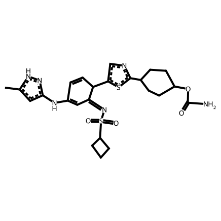 Cc1cc(NC2=CC(=NS(=O)(=O)C3CCC3)C(c3cnc(C4CCC(OC(N)=O)CC4)s3)C=C2)n[nH]1